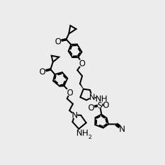 N#Cc1cccc(S(=O)(=O)NN2CC[C@@H](CCCOc3ccc(C(=O)C4CC4)cc3)C2)c1.N[C@@H]1CCN(CCCOc2ccc(C(=O)C3CC3)cc2)C1